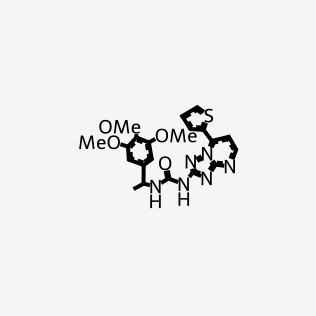 COc1cc(C(C)NC(=O)Nc2nc3nccc(-c4cccs4)n3n2)cc(OC)c1OC